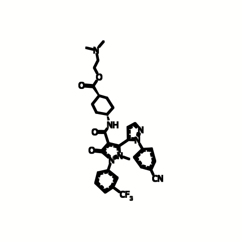 CN(C)CCOC(=O)[C@H]1CC[C@H](NC(=O)c2c(-c3ccnn3-c3ccc(C#N)cc3)n(C)n(-c3cccc(C(F)(F)F)c3)c2=O)CC1